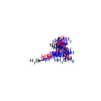 Cc1ccc(CCCC(=O)NCCCCC(NC(=O)CCCC(=O)NC2(CN)CNCCNCC(CN)(NC(=O)CCCC(=O)NC(C)(C)COC(C)(C)CC(=O)N[C@H](Cc3ccccc3)C(=O)N[C@@H](CCC(N)=O)C(=O)N[C@@H](Cc3c[nH]c4ccccc34)C(=O)N[C@@H](C)C(=O)N[C@H](C(=O)NCC(=O)N[C@@H](Cc3c[nH]cn3)C(=O)N[C@H](CCC(=O)N[C@@H](CC(C)C)C(N)=O)CC(C)C)C(C)C)CNCCNC2)C(=O)O)cc1